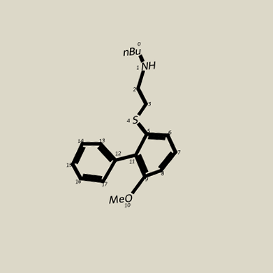 CCCCNCCSc1cccc(OC)c1-c1ccccc1